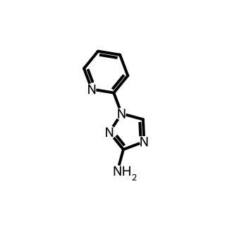 Nc1ncn(-c2ccccn2)n1